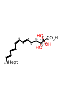 CCCCCCC/C=C/C=C/C=C\C=C\CCC(O)C(O)(O)C(=O)O